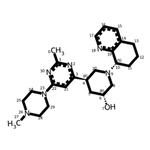 Cc1nc([C@@H]2C[C@@H](O)CN([C@H]3CCCc4cccnc43)C2)cc(N2CCN(C)CC2)n1